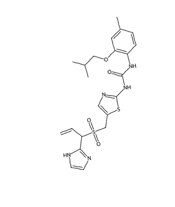 C=CC(c1ncc[nH]1)S(=O)(=O)Cc1cnc(NC(=O)Nc2ccc(C)cc2OCC(C)C)s1